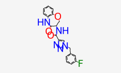 O=C(NC1COc2ccccc2NC1=O)c1cn(Cc2cccc(F)c2)nn1